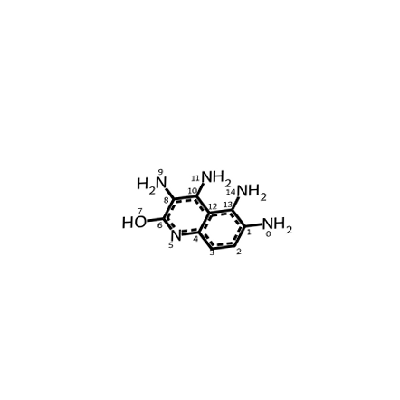 Nc1ccc2nc(O)c(N)c(N)c2c1N